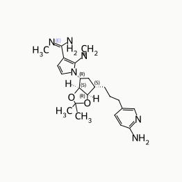 C=Nc1c(/C(N)=N\C)ccn1[C@@H]1C[C@H](CCCc2ccc(N)nc2)[C@H]2OC(C)(C)O[C@H]21